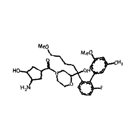 COCCCCC(O)(c1cccc(F)c1-c1cc(C)cc(OC)c1)C1CN(C(=O)C2CC(N)C(O)C2)CCO1